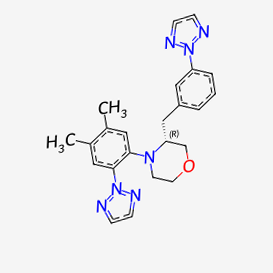 Cc1cc(N2CCOC[C@H]2Cc2cccc(-n3nccn3)c2)c(-n2nccn2)cc1C